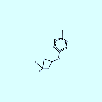 Cc1cnc(OC2CC(F)(F)C2)nc1